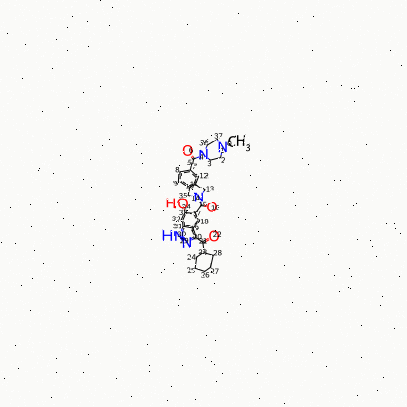 CN1CCN(C(=O)c2ccc3c(c2)CN(C(=O)c2cc4c(C(=O)C5CCCCC5)n[nH]c4cc2O)C3)CC1